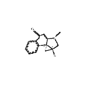 CN1C[C@@H]2C[C@]23C1=CC(=O)c1ccccc13